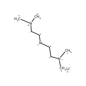 CN(C)CC[N-]CCN(C)C.[Li+]